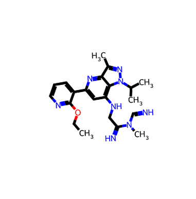 CCOc1ncccc1-c1cc(NCC(=N)N(C)C=N)c2c(n1)c(C)nn2C(C)C